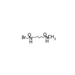 CNC(=O)CCCCCCNC(=O)CBr